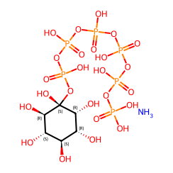 N.O=P(O)(O)OP(=O)(O)OP(=O)(O)OP(=O)(O)OP(=O)(O)OP(=O)(O)O[C@]1(O)[C@H](O)[C@H](O)[C@@H](O)[C@H](O)[C@H]1O